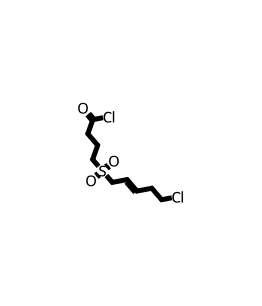 O=C(Cl)CCCS(=O)(=O)CC=CCCCl